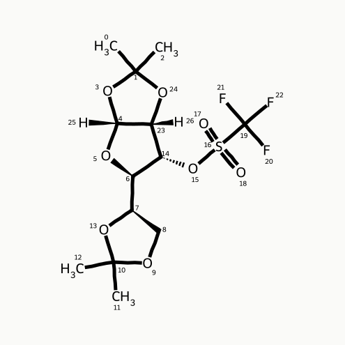 CC1(C)O[C@H]2O[C@H]([C@H]3COC(C)(C)O3)[C@@H](OS(=O)(=O)C(F)(F)F)[C@H]2O1